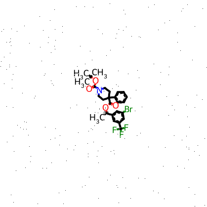 C[C@@H](OC(=O)C1(c2ccccc2)CCN(C(=O)OC(C)(C)C)CC1)c1cc(Br)cc(C(F)(F)F)c1